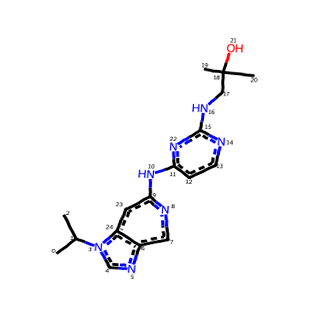 CC(C)n1cnc2cnc(Nc3ccnc(NCC(C)(C)O)n3)cc21